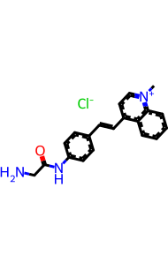 C[n+]1ccc(C=Cc2ccc(NC(=O)CN)cc2)c2ccccc21.[Cl-]